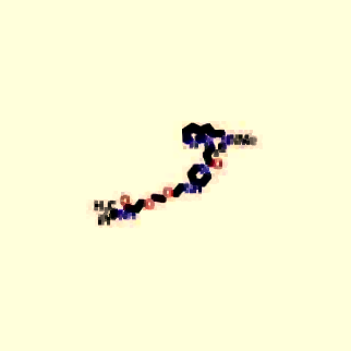 CNN(C)Cc1cc2cccnc2n1CCC(=O)N1CCC(NCCOCCOCCC(=O)NC(C)C(C)C)CC1